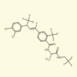 CN(NC(=O)c1ccc(/C(F)=C/C(c2ccc(Cl)c(Cl)c2)C(F)(F)F)cc1C(F)(F)F)C(=O)NCC(F)(F)F